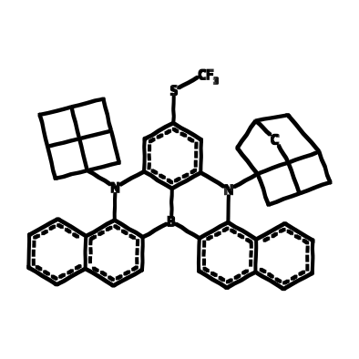 FC(F)(F)Sc1cc2c3c(c1)N(C14CC5CC6CC(C1)C654)c1c(ccc4ccccc14)B3c1ccc3ccccc3c1N2C12CC3CC4CC(C1)C42C3